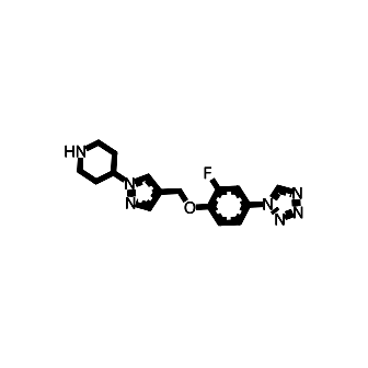 Fc1cc(-n2cnnn2)ccc1OCc1cnn(C2CCNCC2)c1